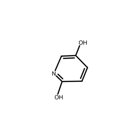 Oc1ccc(O)nc1